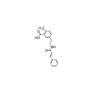 Cc1ccc(CCNC(=O)/C=C/c2ccccc2)cc1C(=O)O